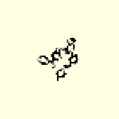 CC1CCN(C(=O)Cc2cccc(N3C=C(Nc4ccc(C(=O)N5CCOCC5)cn4)C4=NC=C[N+]4C3)c2)CC1